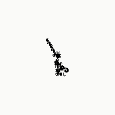 CCCOCCOCCOCCNC(=O)c1cccc(SCc2cccc(C(=O)Nc3ccc(N4CCCCC4)cc3-c3cc(C(N)=O)ccn3)c2)c1